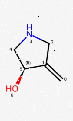 C=C1CNC[C@@H]1O